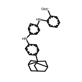 O=Cc1ccccc1Nc1ccc(Nc2ccc(C34CC5CC(CC(C5)C3)C4)cc2)cc1